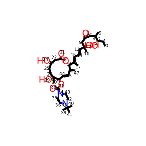 CCC(O)C(C)C1OC1CC(C)(O)/C=C/C=C(\C)C1OC(=O)CC(O)CCC(C)(O)C(OC(=O)N2CCN(C(C)(C)C)CC2)/C=C/C1C